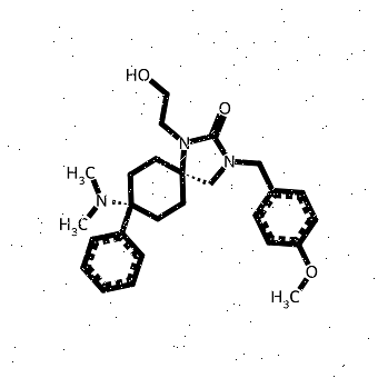 COc1ccc(CN2C[C@]3(CC[C@@](c4ccccc4)(N(C)C)CC3)N(CCO)C2=O)cc1